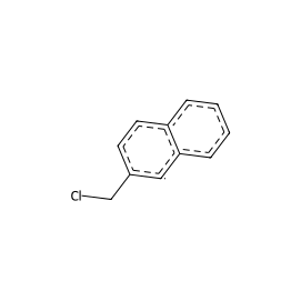 ClCc1[c]c2ccccc2cc1